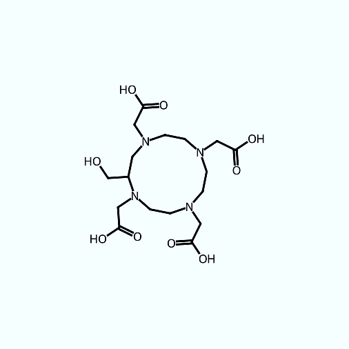 O=C(O)CN1CCN(CC(=O)O)CCN(CC(=O)O)C(CO)CN(CC(=O)O)CC1